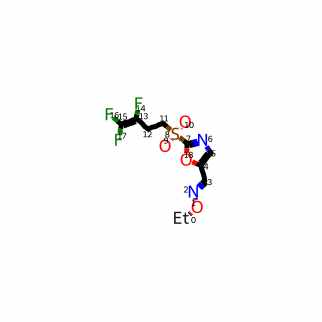 CCO/N=C/c1cnc(S(=O)(=O)CCC(F)=C(F)F)o1